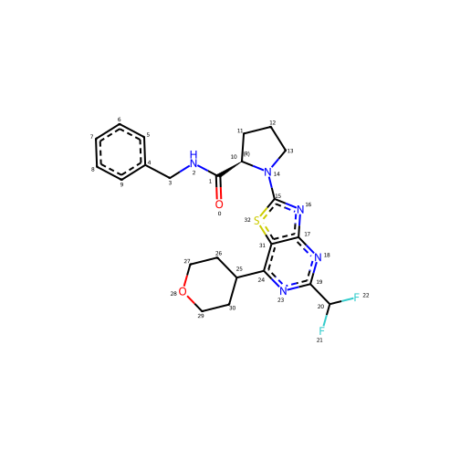 O=C(NCc1ccccc1)[C@H]1CCCN1c1nc2nc(C(F)F)nc(C3CCOCC3)c2s1